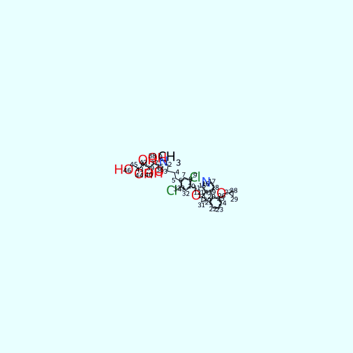 CN(CCCCc1cc(Cl)c(COC2(c3cnccc3-c3ccccc3OC3CC3)CC2)cc1Cl)C(=O)C(O)C(O)C(O)C(O)CO